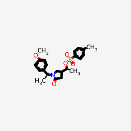 COc1ccc([C@H](C)N2CC([C@H](C)OS(=O)(=O)c3ccc(C)cc3)CC2=O)cc1